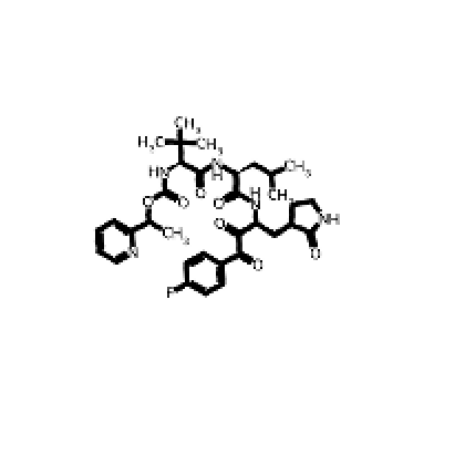 CC(C)C[C@H](NC(=O)[C@@H](NC(=O)OC(C)c1ccccn1)C(C)(C)C)C(=O)NC(CC1CCNC1=O)C(=O)C(=O)c1ccc(F)cc1